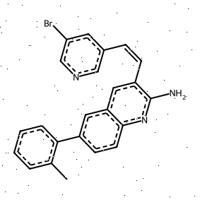 Cc1ccccc1-c1ccc2nc(N)c(/C=C\c3cncc(Br)c3)cc2c1